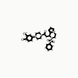 O=C(CC1c2cccn2CCN1S(=O)(=O)c1ccccc1)N1CCN(c2ccc(Cl)c(Cl)c2)CC1